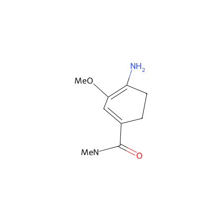 CNC(=O)C1=CC(OC)=C(N)CC1